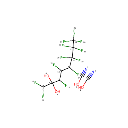 N#CO.N#CO.OC(O)(C(F)F)C(F)C(F)C(F)C(F)(F)C(F)(F)C(F)(F)F